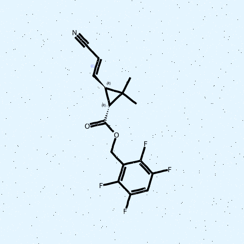 CC1(C)[C@H](/C=C/C#N)[C@H]1C(=O)OCc1c(F)c(F)cc(F)c1F